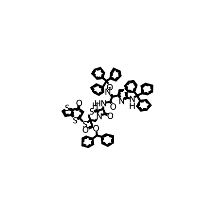 O=C(NC1C(=O)N2CC(Sc3cc(=O)c4sccc4s3)(C(=O)OC(c3ccccc3)c3ccccc3)CS[C@H]12)C(=NOC(c1ccccc1)(c1ccccc1)c1ccccc1)c1csc(NC(c2ccccc2)(c2ccccc2)c2ccccc2)n1